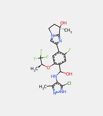 Cc1n[nH]c(Cl)c1NC(O)c1cc(F)c(-c2cn3c(n2)[C@](C)(O)CC3)cc1O[C@@H](C)C(F)(F)F